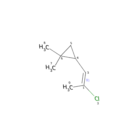 C/C(Cl)=C\C1CC1(C)C